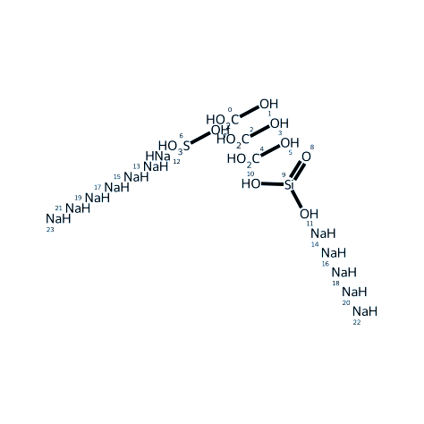 O=C(O)O.O=C(O)O.O=C(O)O.O=S(=O)(O)O.O=[Si](O)O.[NaH].[NaH].[NaH].[NaH].[NaH].[NaH].[NaH].[NaH].[NaH].[NaH].[NaH].[NaH]